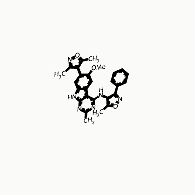 COc1cc2c(cc1-c1c(C)noc1C)[nH]c1nc(C)nc(Nc3c(-c4ccccc4)noc3C)c12